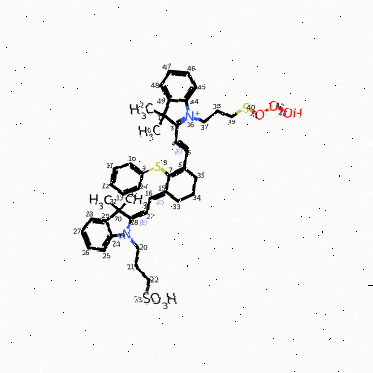 CC1(C)C(/C=C/C2=C(Sc3ccccc3)C(=C/C=C3/N(CCCS(=O)(=O)O)c4ccccc4C3(C)C)/CCC2)=[N+](CCCSOOO)c2ccccc21